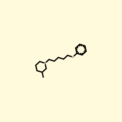 CC1CCCN(CCCCCOc2ccccc2)C1